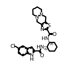 O=C(N[C@H]1CCCC[C@H]1NC(=O)c1nc2c(s1)CN1CCCCN1C2)c1cc2cc(Cl)ccc2[nH]1